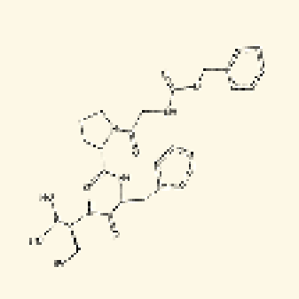 CC(C)C[C@H](NC(=O)C(Cc1ccccc1)NC(=O)[C@@H]1CCCN1C(=O)CNC(=O)OCc1ccccc1)B(O)O